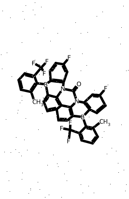 Cc1cccc(C(F)(F)F)c1B1c2ccc(F)cc2N2C(=O)N3c4cc(F)ccc4B(c4c(C)cccc4C(F)(F)F)c4ccc5ccc1c2c5c43